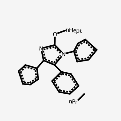 CCCC.CCCCCCCOc1nc(-c2ccccc2)c(-c2ccccc2)n1-c1ccccc1